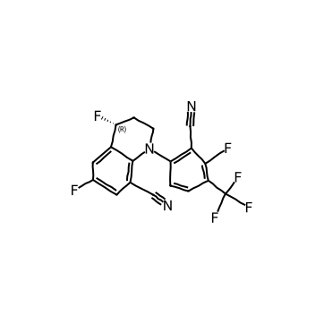 N#Cc1cc(F)cc2c1N(c1ccc(C(F)(F)F)c(F)c1C#N)CC[C@H]2F